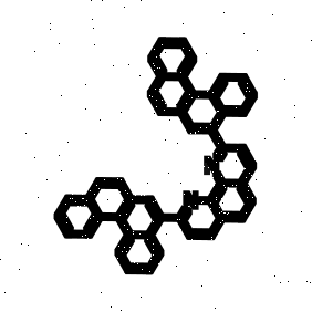 c1ccc2c(c1)ccc1cc(-c3ccc4ccc5ccc(-c6cc7ccc8ccccc8c7c7ccccc67)nc5c4n3)c3ccccc3c12